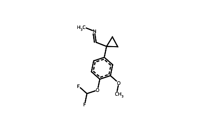 C/N=C/C1(c2ccc(OC(F)F)c(OC)c2)CC1